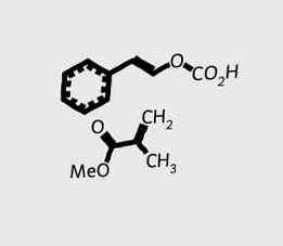 C=C(C)C(=O)OC.O=C(O)OC=Cc1ccccc1